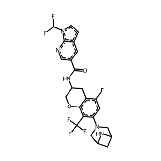 O=C(NC1COc2c(c(F)cc(N3CC4CC(C3)N4)c2C(F)(F)F)C1)c1cnc2c(ccn2C(F)F)c1